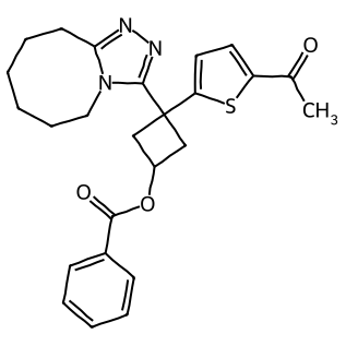 CC(=O)c1ccc(C2(c3nnc4n3CCCCCC4)CC(OC(=O)c3ccccc3)C2)s1